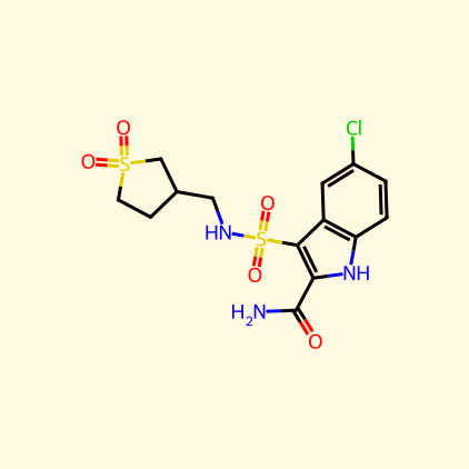 NC(=O)c1[nH]c2ccc(Cl)cc2c1S(=O)(=O)NCC1CCS(=O)(=O)C1